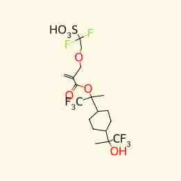 C=C(COCC(F)(F)S(=O)(=O)O)C(=O)OC(C)(C1CCC(C(C)(O)C(F)(F)F)CC1)C(F)(F)F